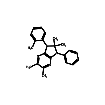 Cc1ccccc1N1c2nc(C)c(C)nc2N(c2ccccc2)C1(C)C